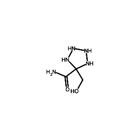 NC(=O)C1(CO)NNNN1